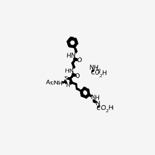 CC(=O)Nc1nc(CCc2ccc(NC=NC(=O)O)cc2)c(C(=O)NCCC(=O)NCc2ccccc2)s1.NC(=O)O